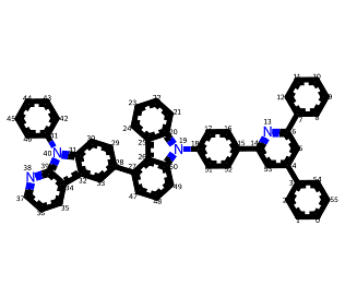 c1ccc(-c2cc(-c3ccccc3)nc(-c3ccc(-n4c5ccccc5c5c(-c6ccc7c(c6)c6cccnc6n7-c6ccccc6)cccc54)cc3)c2)cc1